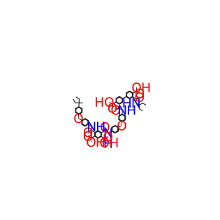 CCC(CC)NC(=O)c1cc(-c2ccc(C(=O)O)c(C(=O)Nc3ccc(Oc4ccc(NC(=O)c5cc(C(=O)Nc6ccc(Oc7ccc(C(C)(CC)CC)cc7)cc6)c(C(=O)O)cc5C(=O)O)cc4)cc3)c2)ccc1C(=O)O